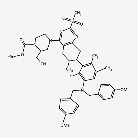 COc1ccc(CN(Cc2ccc(OC)cc2)c2cc(C)c(C(F)(F)F)c(C3Cc4nc(S(C)(=O)=O)nc(N5CCN(C(=O)OC(C)(C)C)C(CC#N)C5)c4CC3C)c2F)cc1